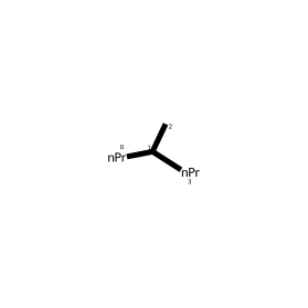 [CH2]CCC(C)C[CH]C